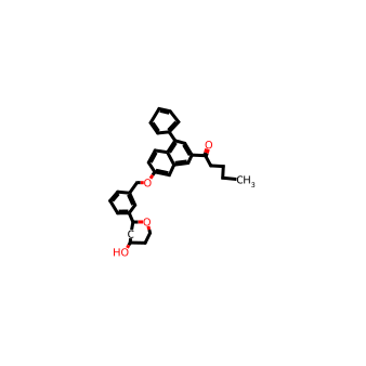 CCCCC(=O)c1cc(-c2ccccc2)c2ccc(OCc3cccc(C4CC(O)CCO4)c3)cc2c1